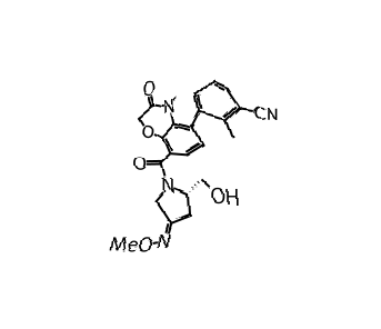 CO/N=C1/C[C@@H](CO)N(C(=O)c2ccc(-c3cccc(C#N)c3C)c3c2OCC(=O)N3C)C1